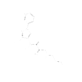 CCN(C(=O)C(=N)C[S+]([O-])CCCC(F)(F)F)c1cn(-c2cccnc2)nc1C